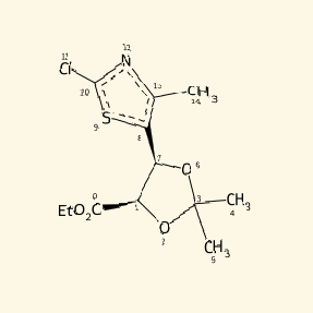 CCOC(=O)[C@@H]1OC(C)(C)O[C@@H]1c1sc(Cl)nc1C